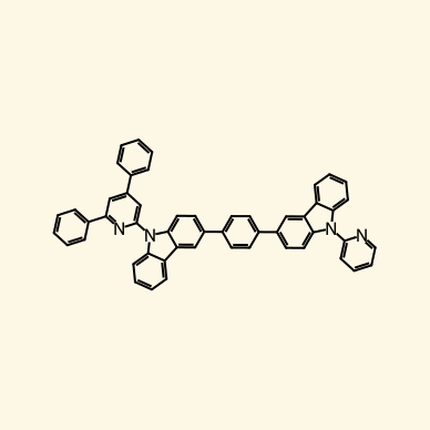 c1ccc(-c2cc(-c3ccccc3)nc(-n3c4ccccc4c4cc(-c5ccc(-c6ccc7c(c6)c6ccccc6n7-c6ccccn6)cc5)ccc43)c2)cc1